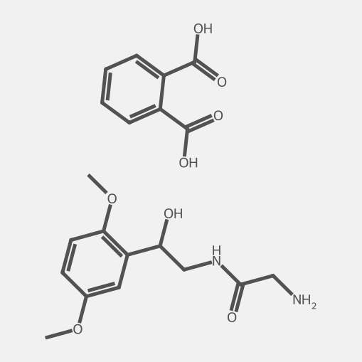 COc1ccc(OC)c(C(O)CNC(=O)CN)c1.O=C(O)c1ccccc1C(=O)O